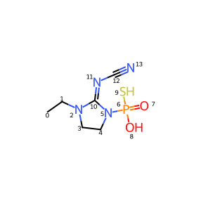 CCN1CCN(P(=O)(O)S)C1=NC#N